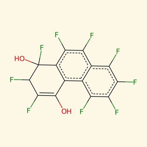 OC1=C(F)C(F)C(O)(F)c2c(F)c(F)c3c(F)c(F)c(F)c(F)c3c21